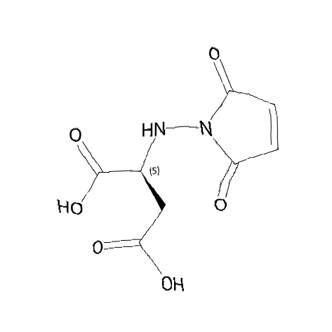 O=C(O)C[C@H](NN1C(=O)C=CC1=O)C(=O)O